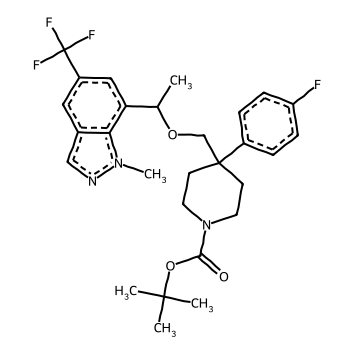 CC(OCC1(c2ccc(F)cc2)CCN(C(=O)OC(C)(C)C)CC1)c1cc(C(F)(F)F)cc2cnn(C)c12